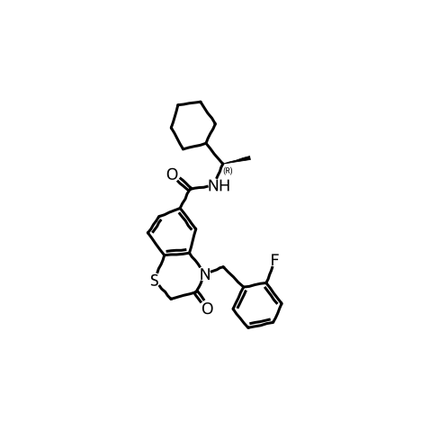 C[C@@H](NC(=O)c1ccc2c(c1)N(Cc1ccccc1F)C(=O)CS2)C1CCCCC1